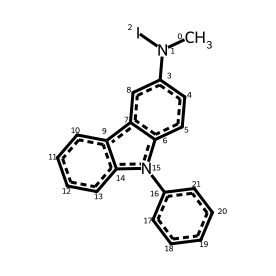 CN(I)c1ccc2c(c1)c1ccccc1n2-c1ccccc1